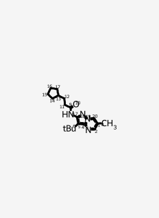 Cc1cnc2c(C(C)(C)C)c(NC(=O)CCC3CCCC3)nn2c1